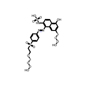 O=S(=O)(O)Nc1ccc2c(O)cc(SOOO)cc2c1/N=N/c1ccc(S(=O)(=O)CCOSOOO)cc1